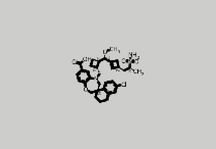 CO[C@H](C1=C[C@H](C[C@@H](C)S(N)(=O)=O)C1)[C@@H]1CC[C@H]1CN1C[C@@]2(CCCc3cc(Cl)ccc32)COc2ccc(C(=O)O)cc21